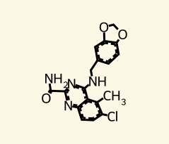 Cc1c(Cl)ccc2nc(C(N)=O)nc(NCc3ccc4c(c3)OCO4)c12